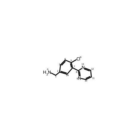 NCc1ccc(Cl)c(-c2ncccn2)c1